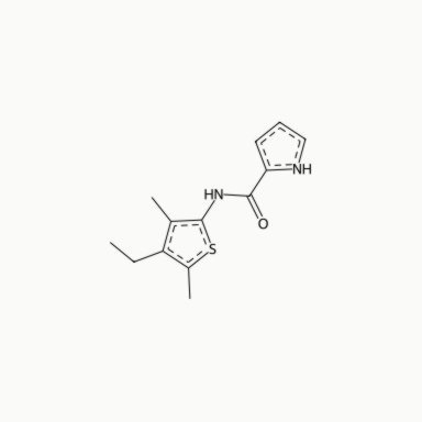 CCc1c(C)sc(NC(=O)c2ccc[nH]2)c1C